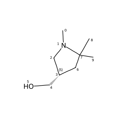 CN1C[C@@H](CO)CC1(C)C